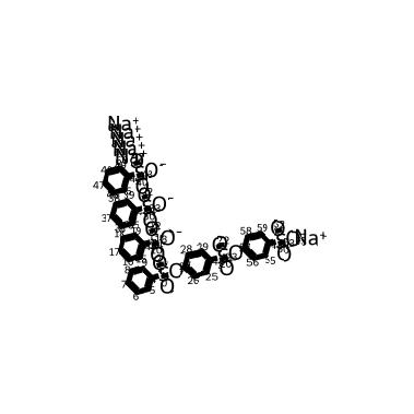 O=S(=O)([O-])c1ccccc1.O=S(=O)([O-])c1ccccc1.O=S(=O)([O-])c1ccccc1.O=S(=O)([O-])c1ccccc1.O=S(=O)([O-])c1ccccc1.O=S(=O)([O-])c1ccccc1.[Na+].[Na+].[Na+].[Na+].[Na+].[Na+]